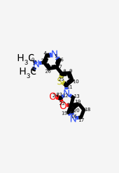 CN(C)c1cncc(-c2ccc(N3CC4(CN5CCC4CC5)OC3=O)s2)c1